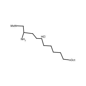 CCCCCCCCCCCCCCCCC(N)CNC.Cl